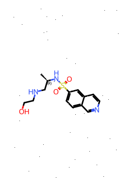 C[C@H](CNCCO)NS(=O)(=O)c1ccc2cnccc2c1